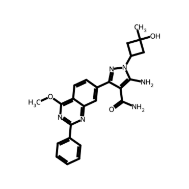 COc1nc(-c2ccccc2)nc2cc(-c3nn(C4CC(C)(O)C4)c(N)c3C(N)=O)ccc12